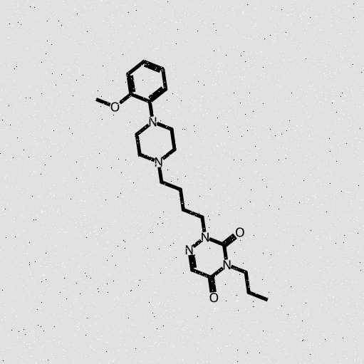 CCCn1c(=O)cnn(CCCCN2CCN(c3ccccc3OC)CC2)c1=O